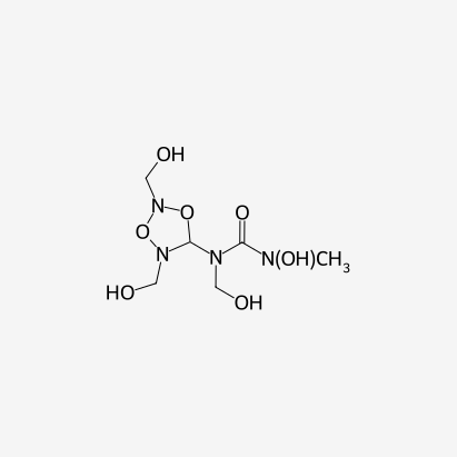 CN(O)C(=O)N(CO)C1ON(CO)ON1CO